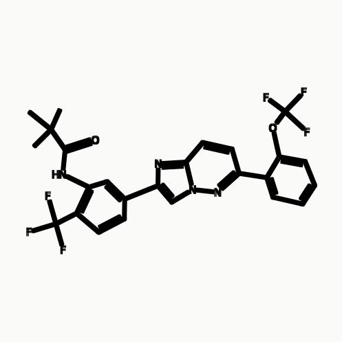 CC(C)(C)C(=O)Nc1cc(-c2cn3nc(-c4ccccc4OC(F)(F)F)ccc3n2)ccc1C(F)(F)F